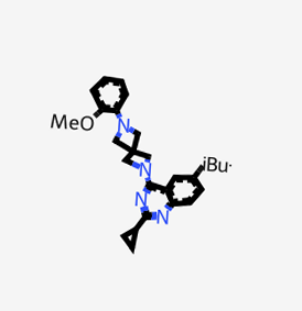 CC[C](C)c1ccc2nc(C3CC3)nc(N3CC4(CN(c5ccccc5OC)C4)C3)c2c1